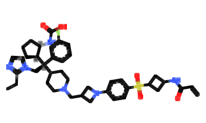 C=CC(=O)NC1CC(S(=O)(=O)c2ccc(N3CC(CN4CCC([C@@](Cn5ccnc5CC)(c5cccc(F)c5)[C@H]5CCC[C@@H]5NC(=O)O)CC4)C3)cc2)C1